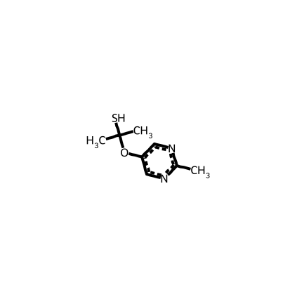 Cc1ncc(OC(C)(C)S)cn1